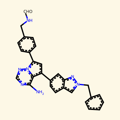 Nc1ncnn2c(-c3ccc(CNC=O)cc3)cc(-c3ccc4cn(Cc5ccccc5)nc4c3)c12